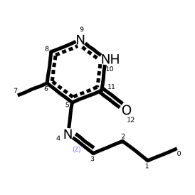 CCC/C=N\c1c(C)cn[nH]c1=O